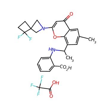 Cc1cc(C(C)Nc2ccccc2C(=O)O)c2oc(N3CC4(CCC4(F)F)C3)cc(=O)c2c1.O=C(O)C(F)(F)F